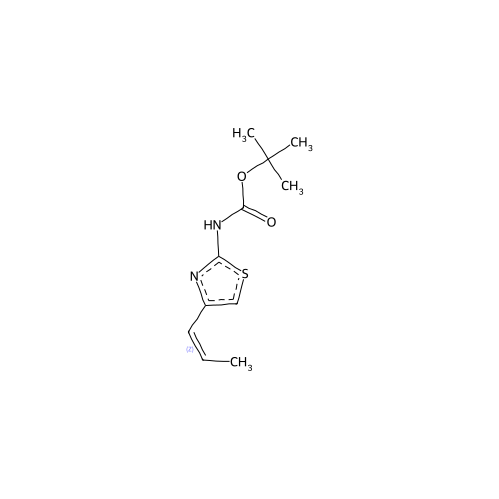 C/C=C\c1csc(NC(=O)OC(C)(C)C)n1